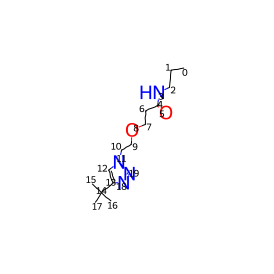 CCCNC(=O)CCOCCn1cc(C(C)(C)C)nn1